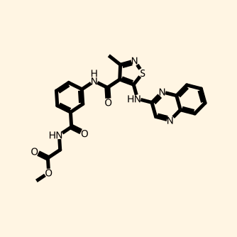 COC(=O)CNC(=O)c1cccc(NC(=O)c2c(C)nsc2Nc2cnc3ccccc3n2)c1